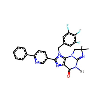 CCN1C(=O)c2nc(-c3ccc(-c4ccccc4)nc3)n(Cc3cc(F)c(F)c(F)c3)c2N2CC(C)(C)N=C12